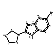 Brc1ccc2[nH]c(C3CCOC3)nc2n1